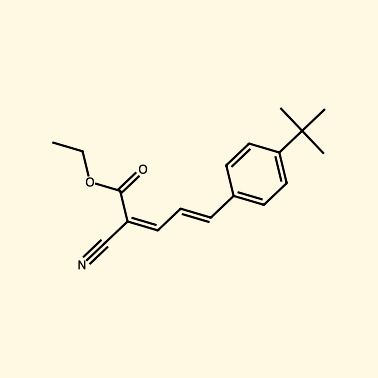 CCOC(=O)C(C#N)=CC=Cc1ccc(C(C)(C)C)cc1